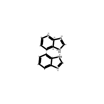 c1ccc2[nH]cnc2c1.c1cnc2nc[nH]c2c1